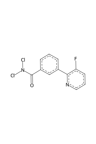 O=C(c1cccc(-c2ncccc2F)c1)N(Cl)Cl